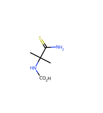 CC(C)(NC(=O)O)C(N)=S